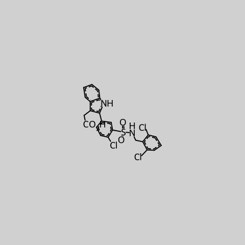 O=C(O)Cc1c(-c2ccc(Cl)c(S(=O)(=O)NCc3c(Cl)cccc3Cl)c2)[nH]c2ccccc12